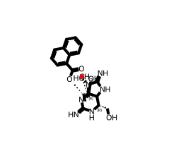 C[C@]1(O)[C@@H](OC(=O)c2cccc3ccccc23)CN2C(=N)N[C@@H](CO)C3NC(=N)N(O)C321